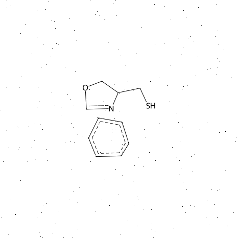 SCC1COC=N1.c1ccccc1